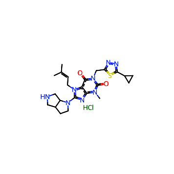 CC(C)=CCn1c(N2CCC3CNCC32)nc2c1c(=O)n(Cc1nnc(C3CC3)s1)c(=O)n2C.Cl